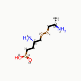 CC[C@H](N)CSSC[C@@H](N)CCS(=O)O